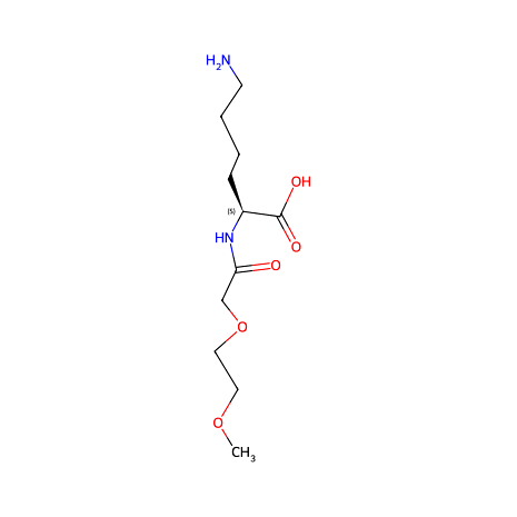 COCCOCC(=O)N[C@@H](CCCCN)C(=O)O